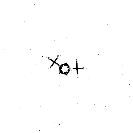 FC(F)(F)n1cc[n+](C(F)(F)F)c1